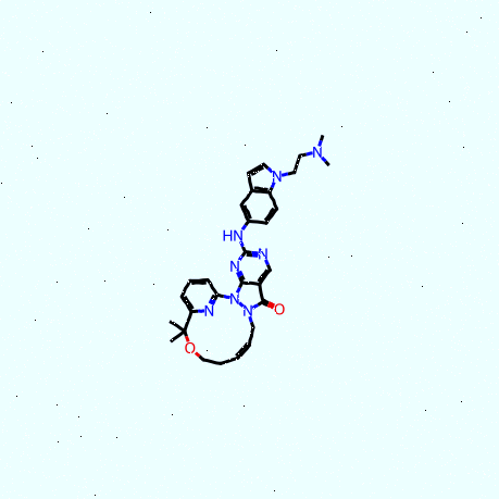 CN(C)CCn1ccc2cc(Nc3ncc4c(=O)n5n(c4n3)-c3cccc(n3)C(C)(C)OCC/C=C\C5)ccc21